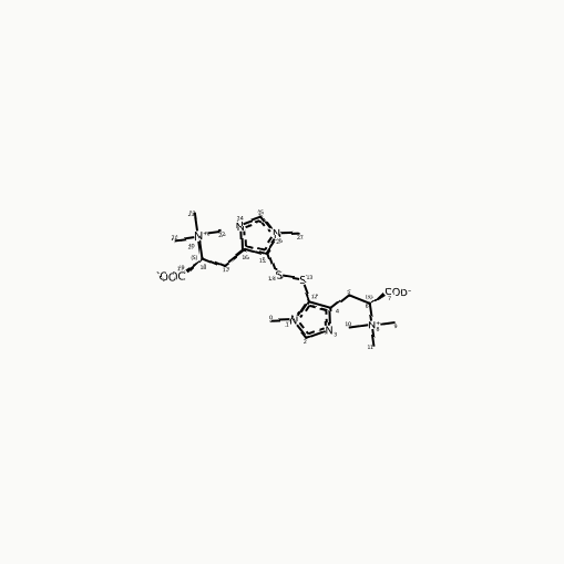 Cn1cnc(C[C@@H](C(=O)[O-])[N+](C)(C)C)c1SSc1c(C[C@@H](C(=O)[O-])[N+](C)(C)C)ncn1C